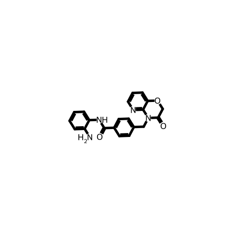 Nc1ccccc1NC(=O)c1ccc(CN2C(=O)COc3cccnc32)cc1